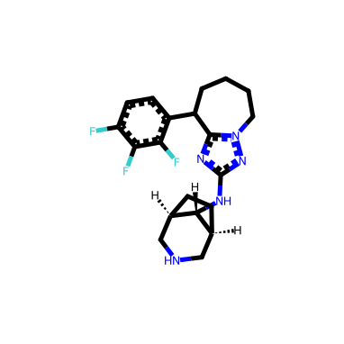 Fc1ccc(C2CCCCn3nc(N[C@H]4[C@@H]5CC[C@H]4CNC5)nc32)c(F)c1F